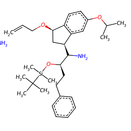 C=CCO[C@@H]1C[C@H](C(N)[C@@H](CCc2ccccc2)O[Si](C)(C)C(C)(C)C)c2cc(OC(C)C)ccc21.N